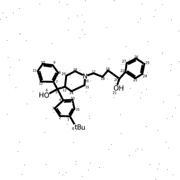 CC(C)(C)c1ccc(C(O)(c2ccccc2)C2CCN(CCCC(O)c3ccccc3)CC2)cc1